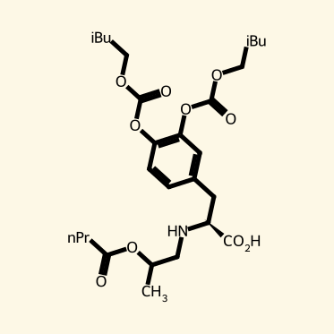 CCCC(=O)OC(C)CN[C@@H](Cc1ccc(OC(=O)OCC(C)CC)c(OC(=O)OCC(C)CC)c1)C(=O)O